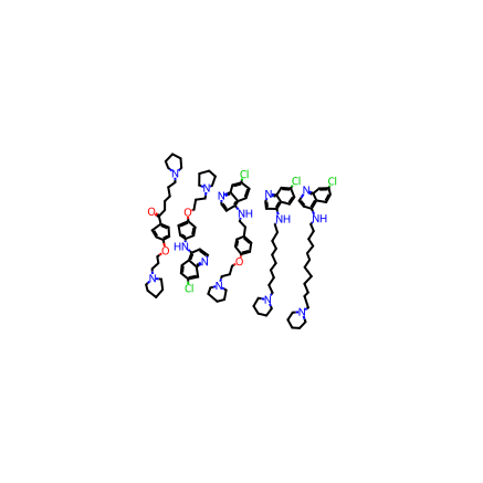 Clc1ccc2c(NCCCCCCCCCCCCN3CCCCC3)ccnc2c1.Clc1ccc2c(NCCCCCCCCCCN3CCCCC3)ccnc2c1.Clc1ccc2c(NCCc3ccc(OCCCN4CCCCC4)cc3)ccnc2c1.Clc1ccc2c(Nc3ccc(OCCCN4CCCCC4)cc3)ccnc2c1.O=C(CCCCCN1CCCCC1)c1ccc(OCCCN2CCCCC2)cc1